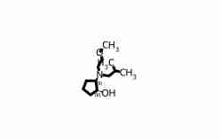 COCCN(CC(C)C)[C@@H]1CCC[C@H]1O